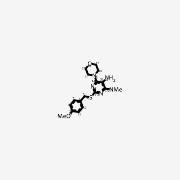 CNc1nc(SCc2ccc(OC)cc2)nc(N2CCOCC2)c1N